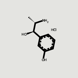 C[C@H](N)[C@H](O)c1cccc(O)c1.Cl